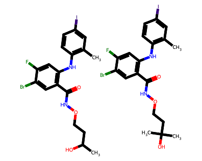 Cc1cc(I)ccc1Nc1cc(F)c(Br)cc1C(=O)NOCCC(C)(C)O.Cc1cc(I)ccc1Nc1cc(F)c(Br)cc1C(=O)NOCCC(C)O